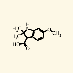 COc1ccc2c(c1)NC(C)(C)C2C(=O)O